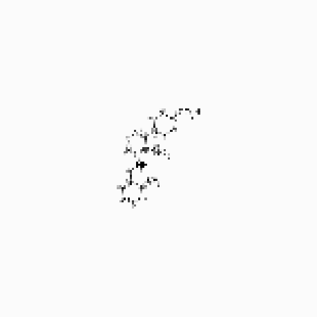 O=C(O)C1CCN(c2ncnc(NCc3ccccc3C(F)(F)F)c2[N+](=O)[O-])CC1